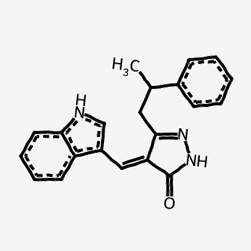 CC(CC1=NNC(=O)C1=Cc1c[nH]c2ccccc12)c1ccccc1